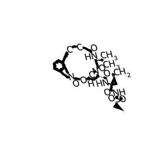 C=C[C@@H]1C[C@]1(NC(=O)[C@@H]1C[C@@H]2CN1C(=O)[C@H](C(C)C)NC(=O)CCCC/C=C/c1cccc3c1CN(C3)C(=O)O2)C(=O)NS(=O)(=O)C1CC1